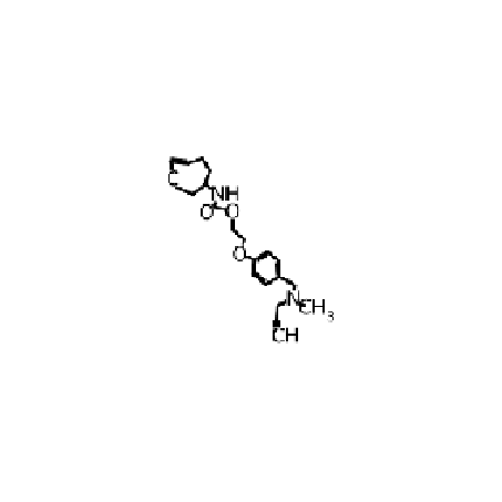 C#CCN(C)Cc1ccc(OCCOC(=O)NC2CC/C=C/CCC2)cc1